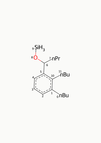 CCCCc1cccc(C(CCC)O[SiH3])c1CCCC